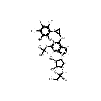 [2H]c1c([2H])c([C@@H]2CC2Nc2nc(SC([2H])([2H])CC)nc3c2nnn3[C@@H]2C[C@H](OC([2H])([2H])CO)[C@@H](O)[C@H]2O)c([2H])c(F)c1C